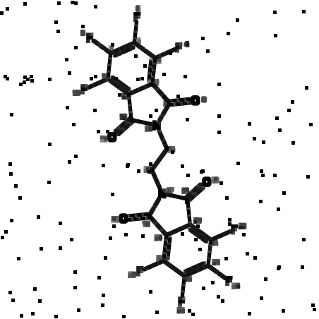 O=C1c2c(F)c(F)c(F)c(F)c2C(=O)N1CCN1C(=O)c2c(F)c(F)c(F)c(F)c2C1=O